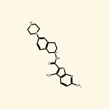 Cc1ccc2c(N)c(C(=O)N[C@@H]3CCc4cc(N5CCNCC5)ccc4C3)sc2n1